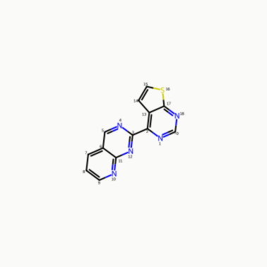 [c]1nc(-c2ncc3cccnc3n2)c2ccsc2n1